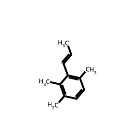 C/C=[C]/c1c(C)ccc(C)c1C